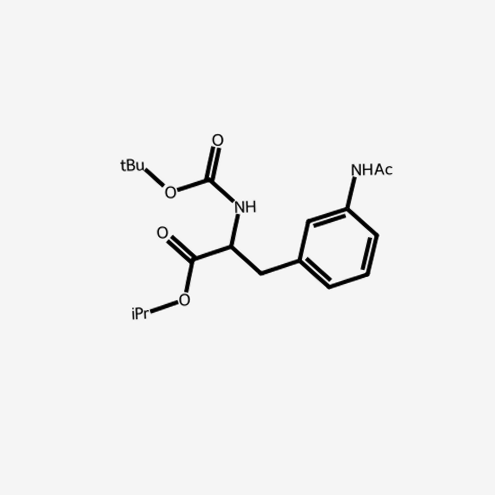 CC(=O)Nc1cccc(CC(NC(=O)OC(C)(C)C)C(=O)OC(C)C)c1